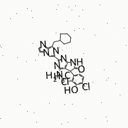 CC1(c2ccc(Cl)c(O)c2Cl)C(=O)Nc2nc(-c3cn4ccnc4c(CC4CCCCC4)n3)nc(N)c21